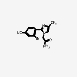 N#Cc1ccc(-c2nc(C(F)(F)F)cn2CC(N)=O)c(Br)c1